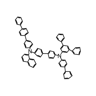 c1ccc(-c2ccc(-c3ccc(N(c4ccc(-c5ccc(N(c6ccc(-c7ccccc7)cc6)c6cc(-c7ccccc7)cc(-c7ccccc7)c6)cc5)cc4)c4cccc5ccccc45)cc3)cc2)cc1